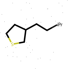 CC(C)CCC1CCSC1